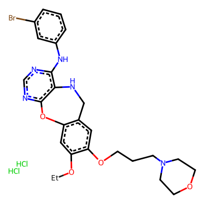 CCOc1cc2c(cc1OCCCN1CCOCC1)CNc1c(Nc3cccc(Br)c3)ncnc1O2.Cl.Cl